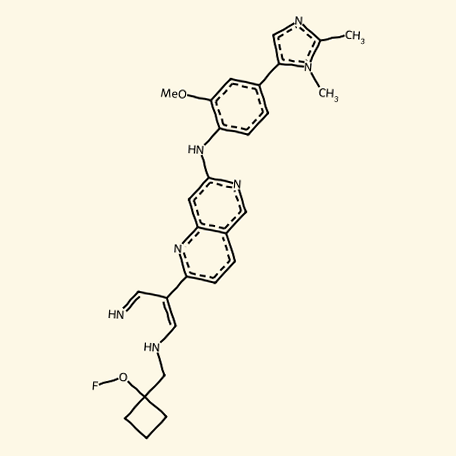 COc1cc(-c2cnc(C)n2C)ccc1Nc1cc2nc(/C(C=N)=C/NCC3(OF)CCC3)ccc2cn1